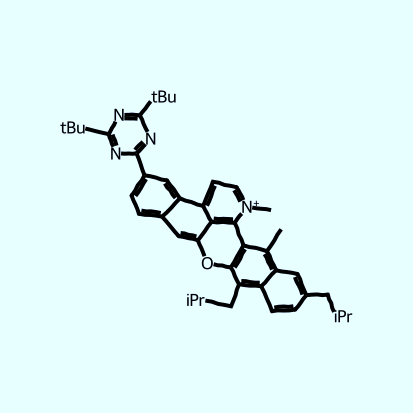 Cc1c2c(c(CC(C)C)c3ccc(CC(C)C)cc13)Oc1cc3ccc(-c4nc(C(C)(C)C)nc(C(C)(C)C)n4)cc3c3cc[n+](C)c-2c13